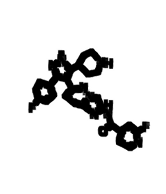 Cn1nc(-c2ccc(F)cc2)c(-c2ccc3nc(NC(=O)c4ccnc(F)c4)cn3n2)c1C1CCNCC1